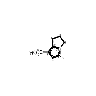 O=C(O)c1cnn2c1CCC2